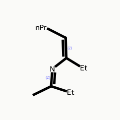 CCC/C=C(CC)\N=C(\C)CC